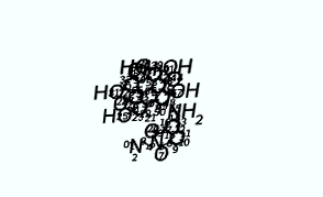 CN(C)CCN1C(=O)c2cccc3cc(N)cc(c23)C1=O.Cc1cc(O)c2c(=O)c3c(O)cc(O)c4c5c(O)cc(O)c6c(=O)c7c(O)cc(C)c8c1c2c(c34)c(c78)c65